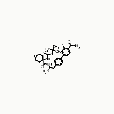 CC(C)(C)OC(=O)NC1(C(=O)N[C@H](N)Cc2ccc(-c3ccc(C(N)=O)c(F)c3)cc2)CCOCC1